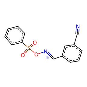 N#Cc1cccc(/C=N/OS(=O)(=O)c2ccccc2)c1